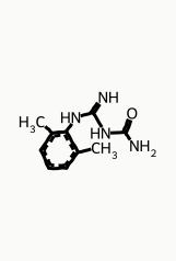 Cc1cccc(C)c1NC(=N)NC(N)=O